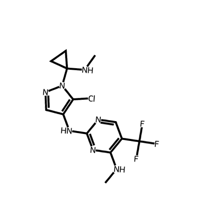 CNc1nc(Nc2cnn(C3(NC)CC3)c2Cl)ncc1C(F)(F)F